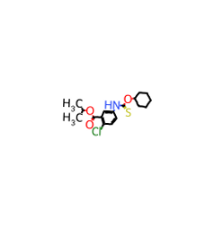 CC(C)OC(=O)c1cc(NC(=S)OC2CCCCC2)ccc1Cl